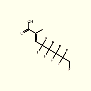 C/C(=C\C(F)(F)C(F)(F)C(F)(F)C(F)(F)CF)C(=O)O